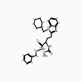 CC(C)(C)OC(=O)NC(CCc1nc2ccccc2n1CC1CCCCC1)C(=O)NOCc1ccccc1